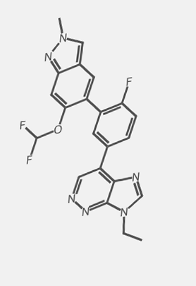 CCn1cnc2c(-c3ccc(F)c(-c4cc5cn(C)nc5cc4OC(F)F)c3)cnnc21